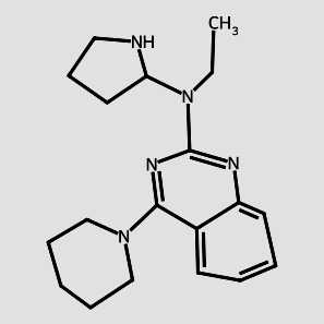 CCN(c1nc(N2CCCCC2)c2ccccc2n1)C1CCCN1